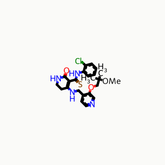 COC(C)(C)COc1cnccc1CNC1=C(C(=S)Nc2ccccc2Cl)C(=O)NCC1